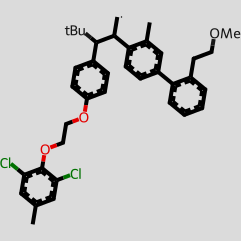 [CH2]C(c1ccc(-c2ccccc2CCOC)cc1C)C(c1ccc(OCCOc2c(Cl)cc(C)cc2Cl)cc1)C(C)(C)C